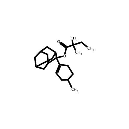 CCC(C)(C)C(=O)OC1(C2=CCC(C)CC2)C2CC3CC(C2)CC1C3